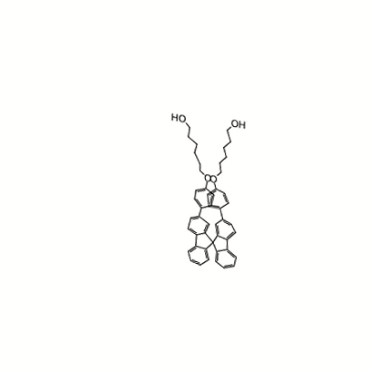 OCCCCCCOc1ccc(-c2ccc3c(c2)C2(c4ccccc4-3)c3ccccc3-c3ccc(-c4ccc(OCCCCCCO)cc4)cc32)cc1